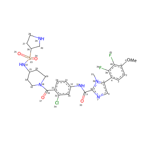 COc1ccc(-c2cnc(C(=O)Nc3ccc(C(=O)N4CCC(NS(=O)(=O)C5CCNC5)CC4)c(Cl)c3)n2C)c(F)c1F